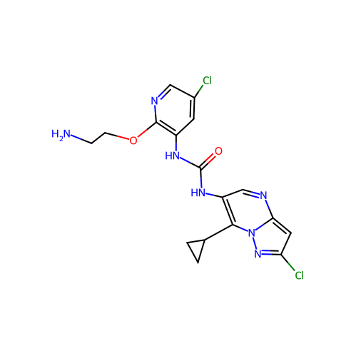 NCCOc1ncc(Cl)cc1NC(=O)Nc1cnc2cc(Cl)nn2c1C1CC1